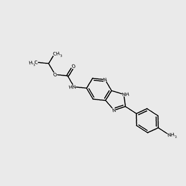 CC(C)OC(=O)Nc1cnc2[nH]c(-c3ccc(N)cc3)nc2c1